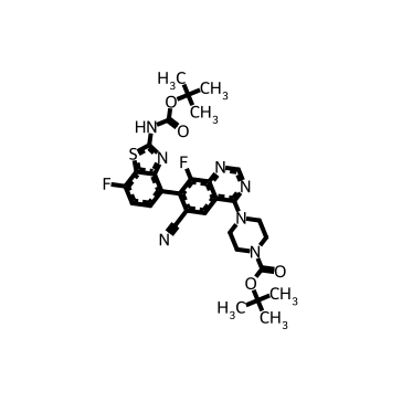 CC(C)(C)OC(=O)Nc1nc2c(-c3c(C#N)cc4c(N5CCN(C(=O)OC(C)(C)C)CC5)ncnc4c3F)ccc(F)c2s1